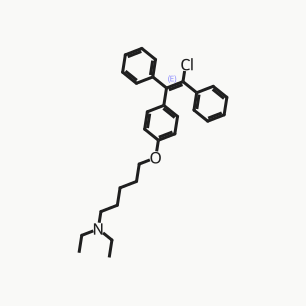 CCN(CC)CCCCCOc1ccc(/C(=C(/Cl)c2ccccc2)c2ccccc2)cc1